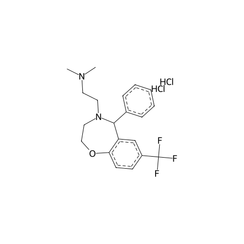 CN(C)CCN1CCOc2ccc(C(F)(F)F)cc2C1c1ccccc1.Cl.Cl